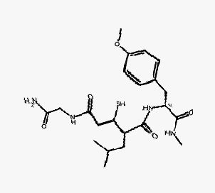 CNC(=O)[C@H](Cc1ccc(OC)cc1)NC(=O)C(CC(C)C)C(S)CC(=O)NCC(N)=O